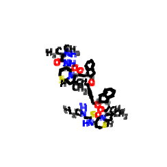 CNCC(=S)N[C@H]1CCS[C@H]2CC(C)(C)[C@@H](C(=O)C[C@H]3c4ccccc4C[C@H]3OCC#CCO[C@@H]3Cc4ccccc4[C@@H]3CC(=O)[C@H]3N4C(=O)[C@@H](NC(=O)[C@H](C)NC)CCS[C@H]4CC3(C)C)N2C1=O